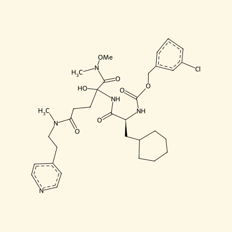 CON(C)C(=O)C(O)(CCC(=O)N(C)CCc1ccncc1)NC(=O)[C@H](CC1CCCCC1)NC(=O)OCc1cccc(Cl)c1